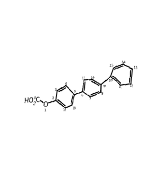 O=C(O)Oc1ccc(-c2ccc(-c3ccccc3)cc2)cc1